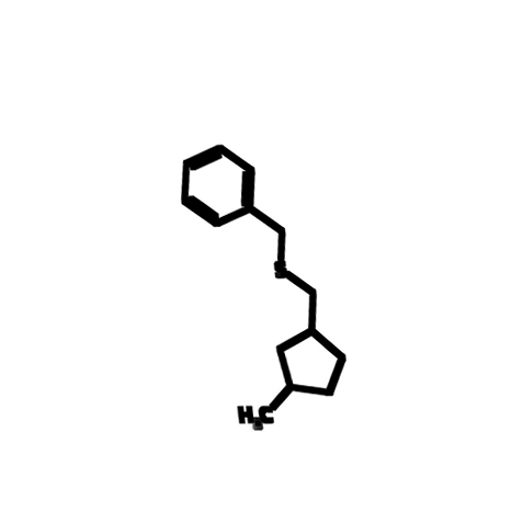 CC1CCC(CSCc2ccccc2)C1